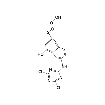 OOOSc1cc(O)c2cc(Nc3nc(Cl)nc(Cl)n3)ccc2c1